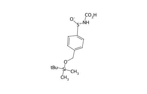 CC(C)(C)[Si](C)(C)OCc1ccc([S+]([O-])NC(=O)O)cc1